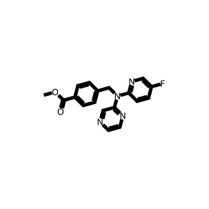 COC(=O)c1ccc(CN(c2ccc(F)cn2)c2cnccn2)cc1